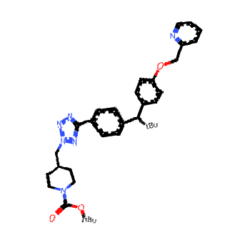 CCCCOC(=O)N1CCC(Cn2nnc(-c3ccc(C(c4ccc(OCc5ccccn5)cc4)C(C)(C)C)cc3)n2)CC1